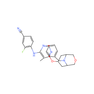 Cc1c(Nc2ccc(C#N)cc2F)ncnc1OC1CC2COCC(C1)N2Cc1ccccc1